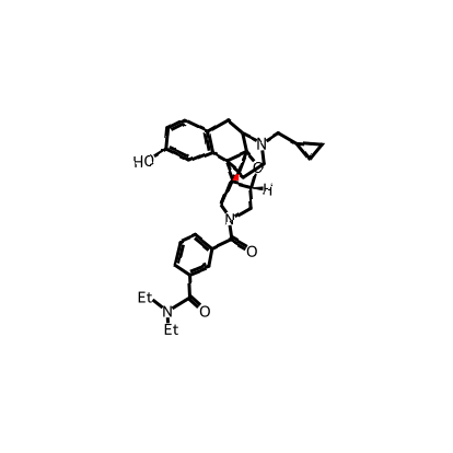 CCN(CC)C(=O)c1cccc(C(=O)N2C[C@H]3OC45CCC2C3C42CCN(CC3CC3)C5Cc3ccc(O)cc32)c1